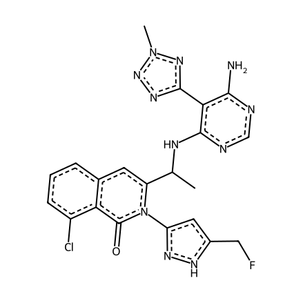 CC(Nc1ncnc(N)c1-c1nnn(C)n1)c1cc2cccc(Cl)c2c(=O)n1-c1cc(CF)[nH]n1